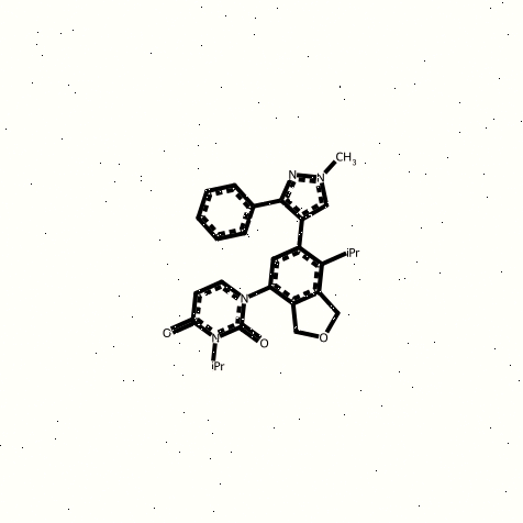 CC(C)c1c(-c2cn(C)nc2-c2ccccc2)cc(-n2ccc(=O)n(C(C)C)c2=O)c2c1COC2